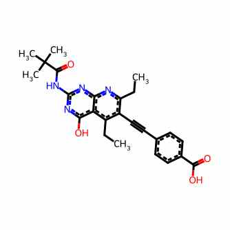 CCc1nc2nc(NC(=O)C(C)(C)C)nc(O)c2c(CC)c1C#Cc1ccc(C(=O)O)cc1